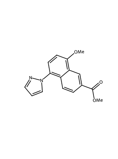 COC(=O)c1ccc2c(-n3cccn3)ccc(OC)c2c1